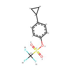 O=S(=O)(Oc1ccc(C2CC2)cc1)C(F)(F)F